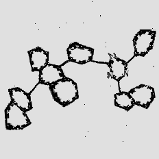 c1ccc(-c2nc(-c3cccc(-c4c5ccccc5c(-c5ccc6ccccc6c5)c5ccccc45)c3)nc(-c3cccc4ccccc34)n2)cc1